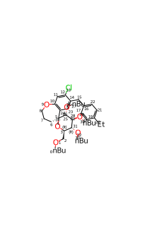 CCCCOC[C@H]1O[C@]2(CCCOc3cc(Cl)c(Cc4ccc(CC)cc4)cc32)[C@H](OCCCC)[C@@H](OCCCC)[C@@H]1OCCCC